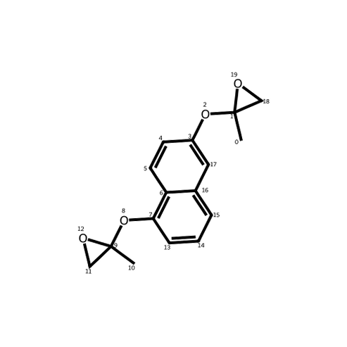 CC1(Oc2ccc3c(OC4(C)CO4)cccc3c2)CO1